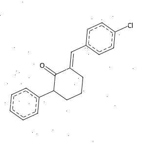 O=C1/C(=C/c2ccc(Cl)cc2)CCCC1c1ccccc1